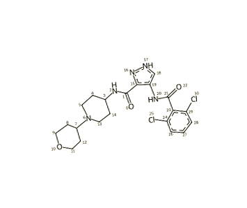 O=C(NC1CCN(C2CCOCC2)CC1)c1n[nH]cc1NC(=O)c1c(Cl)cccc1Cl